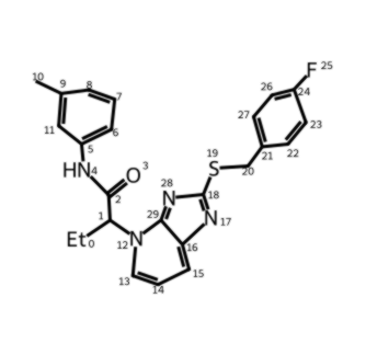 CCC(C(=O)Nc1cccc(C)c1)n1cccc2nc(SCc3ccc(F)cc3)nc1-2